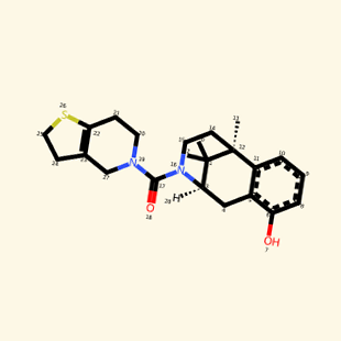 CC1(C)[C@H]2Cc3c(O)cccc3[C@]1(C)CCN2C(=O)N1CCC2=C(CCS2)C1